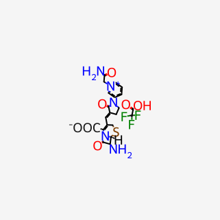 NC(=O)C[n+]1cccc(N2CC/C(=C\C3=C(C(=O)[O-])N4C(=O)[C@@H](N)[C@H]4SC3)C2=O)c1.O=C(O)C(F)(F)F